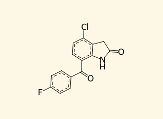 O=C1Cc2c(Cl)ccc(C(=O)c3ccc(F)cc3)c2N1